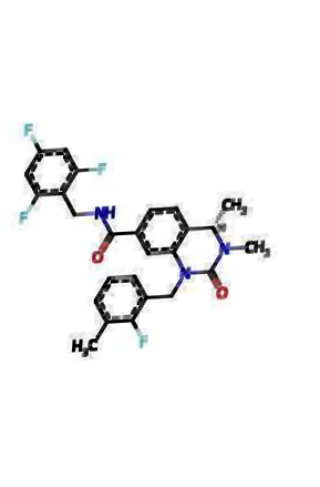 Cc1cccc(CN2C(=O)N(C)[C@@H](C)c3ccc(C(=O)NCc4c(F)cc(F)cc4F)cc32)c1F